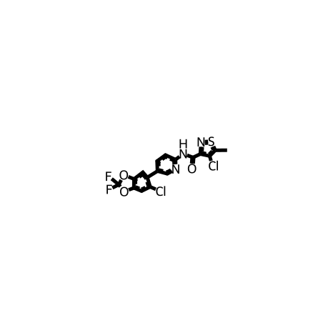 Cc1snc(C(=O)Nc2ccc(-c3cc4c(cc3Cl)OC(F)(F)O4)cn2)c1Cl